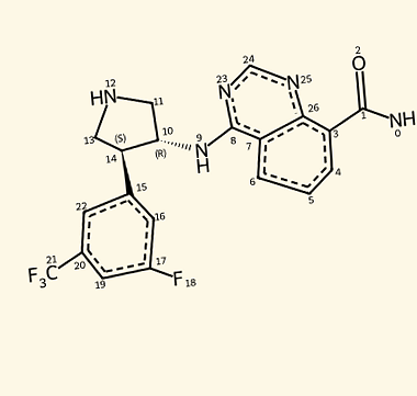 NC(=O)c1cccc2c(N[C@H]3CNC[C@@H]3c3cc(F)cc(C(F)(F)F)c3)ncnc12